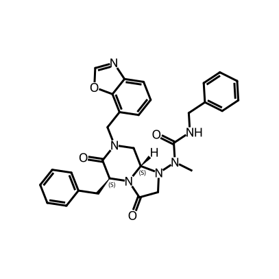 CN(C(=O)NCc1ccccc1)N1CC(=O)N2[C@@H](Cc3ccccc3)C(=O)N(Cc3cccc4ncoc34)C[C@@H]21